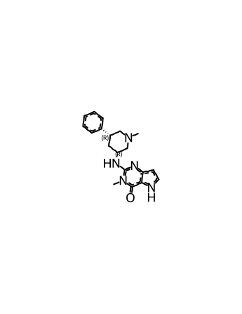 CN1C[C@H](Nc2nc3cc[nH]c3c(=O)n2C)C[C@H](c2ccccc2)C1